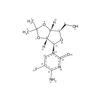 CC1(C)O[C@@H]2[C@H](O1)[C@@H](CO)O[C@H]2n1cc(F)c(N)nc1=O